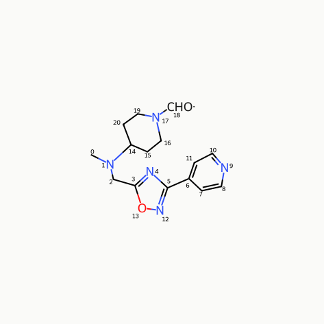 CN(Cc1nc(-c2ccncc2)no1)C1CCN([C]=O)CC1